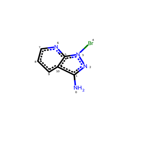 Nc1nn(Br)c2ncccc12